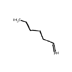 CCCCCC=P